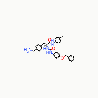 Cc1ccc(NC(=O)[C@H](Cc2ccc(CN)cc2)NC(=O)Nc2ccc(OCc3ccccc3)cc2)cc1